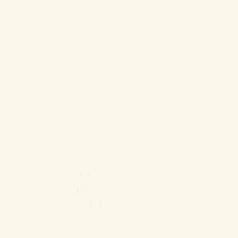 Cc1ccccc1.Cl.Cl.c1ccc(P(c2ccccc2)c2ccccc2)cc1